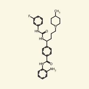 CC1CCN(CCCC(NC(=O)Nc2cccc(F)c2)c2ccc(C(=O)Nc3ccccc3N)cc2)CC1